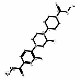 CC[C@H]1CN(c2ccc(C(=O)NN)nc2C)CCN1C1CCN(C(=O)OC(C)(C)C)CC1